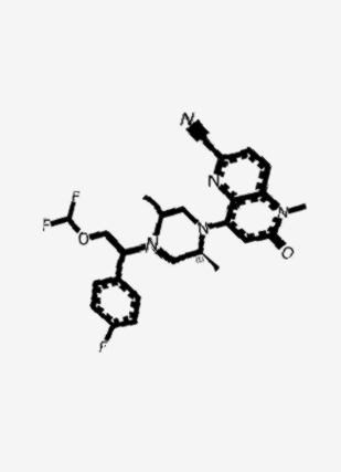 CC1CN(c2cc(=O)n(C)c3ccc(C#N)nc23)[C@@H](C)CN1C(COC(F)F)c1ccc(F)cc1